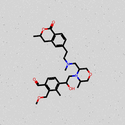 COCc1c(C=O)ccc(C(O)CN2C(C)COCC2CN(C)CCc2ccc3c(c2)CC(C)OC3=O)c1C